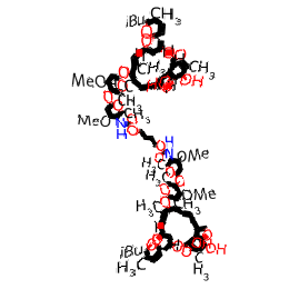 CC[C@H](C)[C@H]1O[C@]2(C=C[C@@H]1C)C[C@@H]1C[C@@H](C/C=C(\C)[C@@H](O[C@H]3C[C@H](OC)[C@@H](O[C@H]4C[C@H](OC)[C@H](NC(=O)OCCCCOC(=O)N[C@@H]5[C@H](C)OC(O[C@H]6[C@H](C)OC(O[C@@H]7/C(C)=C/C[C@@H]8C[C@@H](C[C@]9(C=C[C@H](C)[C@@H]([C@@H](C)CC)O9)O8)OC(=O)[C@@H]8C=C(C)[C@@H](O)[C@H]9OC/C(=C\C=C\[C@@H]7C)[C@]98O)C[C@@H]6OC)C[C@@H]5OC)[C@H](C)O4)[C@H](C)O3)[C@@H](C)/C=C/C=C3\COC4[C@H](O)C(C)=CC(C(=O)O1)C34O)O2